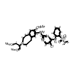 COCC(COC)N1CCc2cc(Nc3ncc(Cl)c(Nc4ccccc4S(=O)(=O)N(C)C)n3)c(OC)cc2CC1